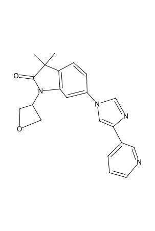 CC1(C)C(=O)N(C2COC2)c2cc(-n3cnc(-c4cccnc4)c3)ccc21